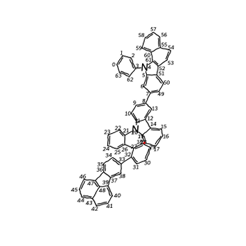 c1ccc(-n2c3cc(-c4ccc5c(c4)c4ccccc4n5-c4ccccc4-c4ccccc4-c4ccc5c(c4)-c4cccc6cccc-5c46)ccc3c3ccc4ccccc4c32)cc1